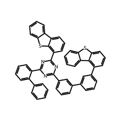 c1ccc(-c2ccccc2-c2nc(-c3cccc(-c4cccc(-c5cccc6sc7ccccc7c56)c4)c3)nc(-c3cccc4c3sc3ccccc34)n2)cc1